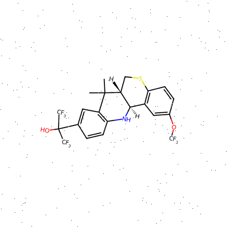 CC1(C)c2cc(C(O)(C(F)(F)F)C(F)(F)F)ccc2N[C@@H]2c3cc(OC(F)(F)F)ccc3SC[C@H]21